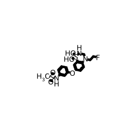 CS(=O)(=O)Nc1cccc(Oc2ccc3c(c2)S(O)(O)NCN3CCF)c1